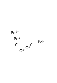 [Cl-].[Cl-].[O-2].[O-2].[Pd+2].[Pd+2].[Pd+2]